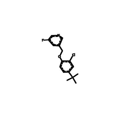 CC(C)(C)c1ccc(OCc2cncc(F)c2)c(Cl)c1